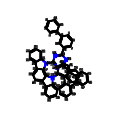 c1ccc(-c2cccc(-c3nc(-c4ccccc4)nc(-n4c5ccccc5c5ccc6c7ccccc7n(-c7cccc8c9ccccc9c9ccccc9c78)c6c54)n3)c2)cc1